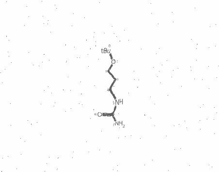 CC(C)(C)OCCCNC(N)=O